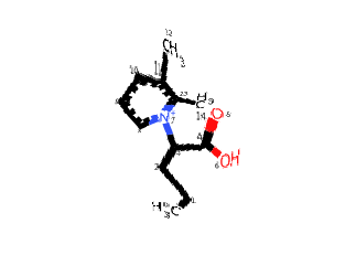 CCCC(C(=O)O)[n+]1cccc(C)c1C